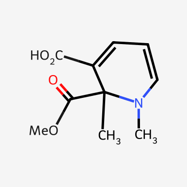 COC(=O)C1(C)C(C(=O)O)=CC=CN1C